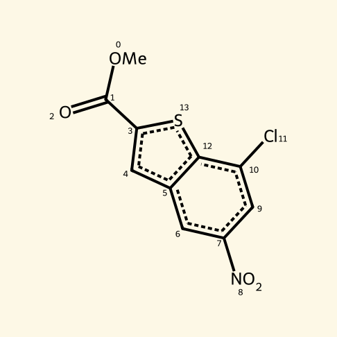 COC(=O)c1cc2cc([N+](=O)[O-])cc(Cl)c2s1